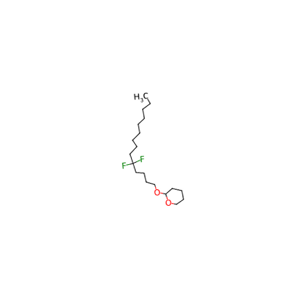 CCCCCCCCCC(F)(F)CCCCOC1CCCCO1